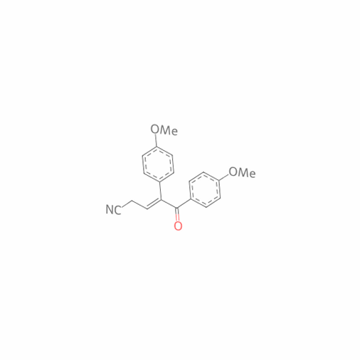 COc1ccc(C(=O)C(=CCC#N)c2ccc(OC)cc2)cc1